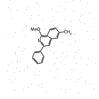 COc1nc(-c2ccccc2)cc2cc(C)ccc12